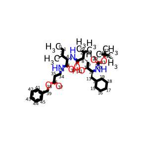 CC[C@H](C)[C@H](NC(=O)[C@@H](C[C@H](O)[C@H](CC1CCCCC1)NC(=O)OC(C)(C)C)C(C)C)C(=O)NCCC(=O)OCc1ccccc1